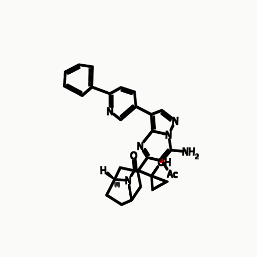 CC(=O)c1c(C2CC3CC[C@H](C2)N3C(=O)C2(O)CC2)nc2c(-c3ccc(-c4ccccc4)nc3)cnn2c1N